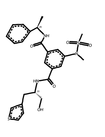 C[C@@H](NC(=O)c1cc(C(=O)N[C@H](CO)Cc2ccsc2)cc(N(C)S(C)(=O)=O)c1)c1ccccc1